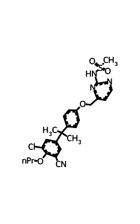 CCCOc1c(Cl)cc(C(C)(C)c2ccc(OCc3ccnc(NS(C)(=O)=O)n3)cc2)cc1C#N